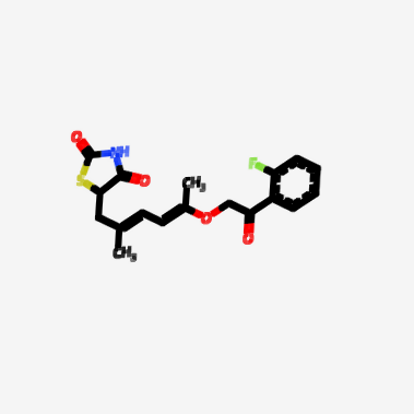 C/C(=C\C=C(/C)OCC(=O)c1ccccc1F)CC1SC(=O)NC1=O